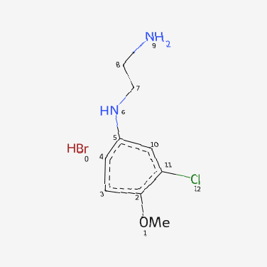 Br.COc1ccc(NCCN)cc1Cl